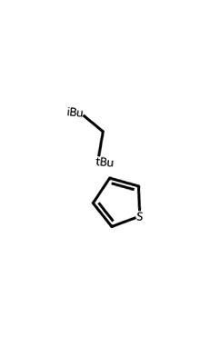 CCC(C)CC(C)(C)C.c1ccsc1